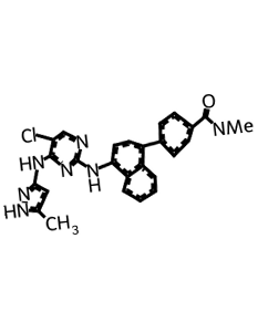 CNC(=O)c1ccc(-c2ccc(Nc3ncc(Cl)c(Nc4cc(C)[nH]n4)n3)c3ccccc23)cc1